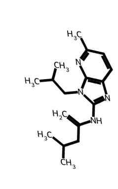 C=C(CC(C)C)Nc1nc2ccc(C)nc2n1CC(C)C